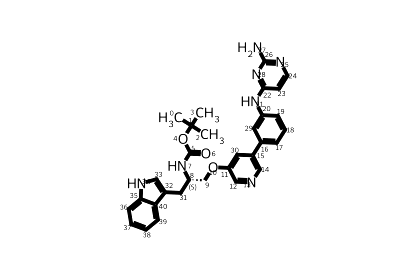 CC(C)(C)OC(=O)N[C@H](COc1cncc(-c2cccc(Nc3ccnc(N)n3)c2)c1)Cc1c[nH]c2ccccc12